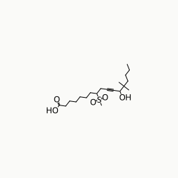 CCCCC(C)(C)C(O)C#CCC(CCCCCCC(=O)O)S(C)(=O)=O